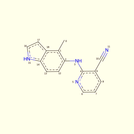 Cc1c(Nc2ncccc2C#N)ccc2[nH]ccc12